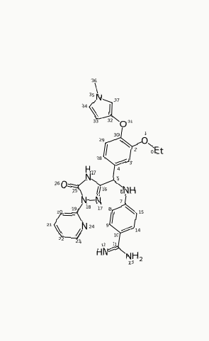 CCOc1cc(C(Nc2ccc(C(=N)N)cc2)c2nn(-c3ccccn3)c(=O)[nH]2)ccc1Oc1ccn(C)c1